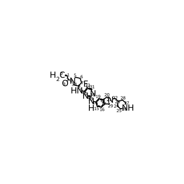 C=CC(=O)N1CCCC(Nc2nc(Nc3ccc4c(c3)CN(CC3CCNCC3)C4)ncc2F)C1